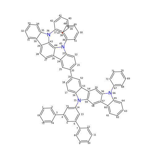 c1ccc(-c2cc(-c3ccccc3)cc(-n3c4ccc(-c5ccc6c(c5)c5ccc7c8ccccc8n(-c8ccccc8)c7c5n6-c5ccccc5)cc4c4cc5c(cc43)c3ccccc3n5-c3ccccc3)c2)cc1